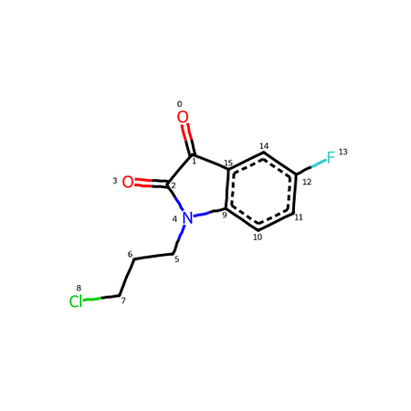 O=C1C(=O)N(CCCCl)c2ccc(F)cc21